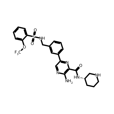 Nc1ncc(-c2cccc(CNS(=O)(=O)c3ccccc3OC(F)(F)F)c2)nc1C(=O)N[C@H]1CCCNC1